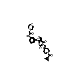 O=C(CN1CCOCC1)Nc1cccc(-n2ncc3c(=O)n(CC4(O)CCN(C(=O)C5CC5)CC4)cnc32)c1